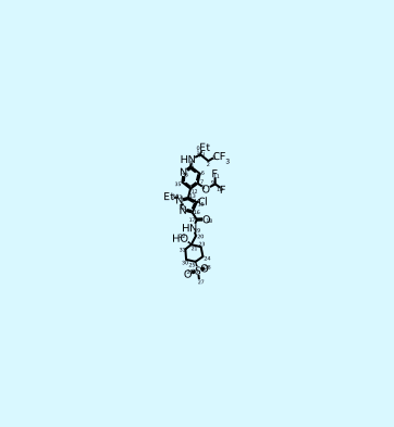 CC[C@@H](CC(F)(F)F)Nc1cc(OC(F)F)c(-c2c(Cl)c(C(=O)NC[C@]3(O)CC[C@@H](S(C)(=O)=O)CC3)nn2CC)cn1